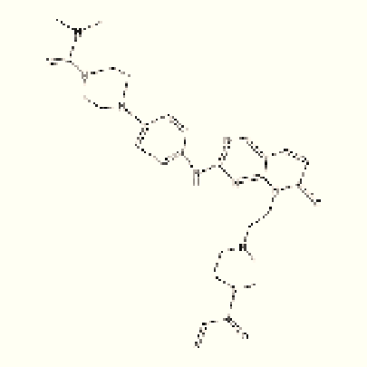 C=CC(=O)N1CCN(CCn2c(=O)ccc3cnc(Nc4ccc(N5CCN(C(=S)N(C)C)CC5)cc4)nc32)CC1